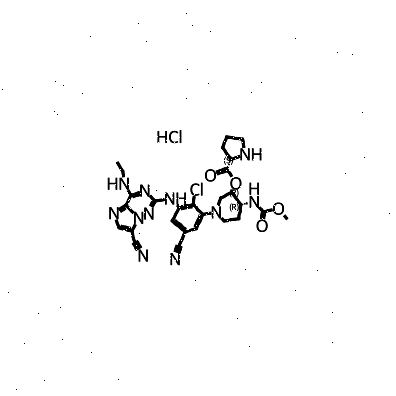 CCNc1nc(Nc2cc(C#N)cc(N3CC[C@@H](NC(=O)OC)[C@H](OC(=O)[C@@H]4CCCN4)C3)c2Cl)nn2c(C#N)cnc12.Cl